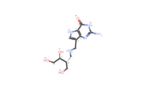 Nc1nc2c(CNC[C@H](CO)[C@H](O)CO)c[nH]c2c(=O)[nH]1